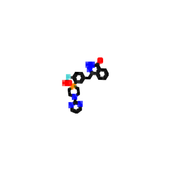 O=c1[nH]nc(Cc2ccc(F)c([P]3(O)CCN(c4ncccn4)CC3)c2)c2ccccc12